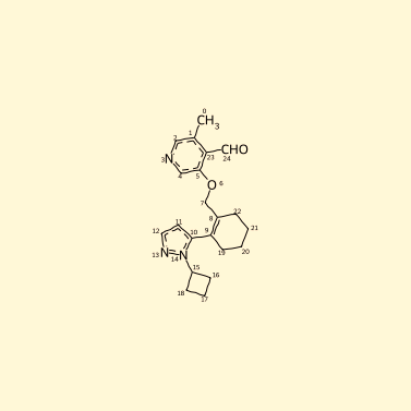 Cc1cncc(OCC2=C(c3ccnn3C3CCC3)CCCC2)c1C=O